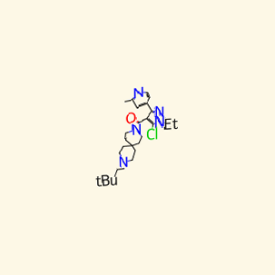 CCn1nc(-c2ccnc(C)c2)c(C(=O)N2CCC3(CCN(CCC(C)(C)C)CC3)CC2)c1Cl